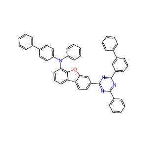 c1ccc(-c2ccc(N(c3ccccc3)c3cccc4c3oc3cc(-c5nc(-c6ccccc6)nc(-c6cccc(-c7ccccc7)c6)n5)ccc34)cc2)cc1